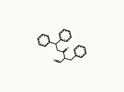 O=CC(Cc1ccccc1)C(=O)CC(c1ccccc1)c1ccccc1